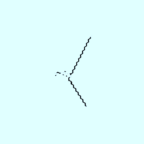 CCCCCCCCCCCCC/C=C/[C@@H](O)[C@H](COP(=O)(O)OCCN(C)C)NC(=O)CCCCCCCCCCCCCCCCCCCC